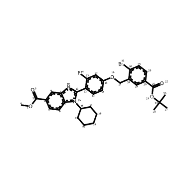 COC(=O)c1ccc2c(c1)nc(-c1ccc(OCc3cc(C(=O)OC(C)(C)C)ccc3Br)cc1F)n2C1CCCCC1